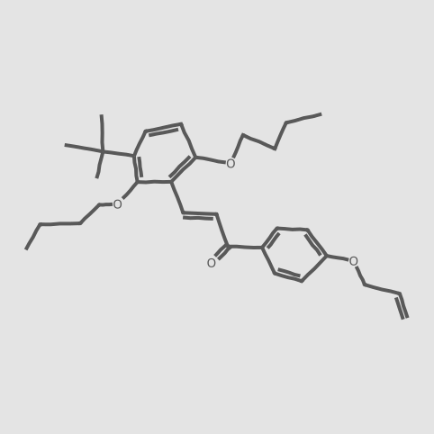 C=CCOc1ccc(C(=O)C=Cc2c(OCCCC)ccc(C(C)(C)C)c2OCCCC)cc1